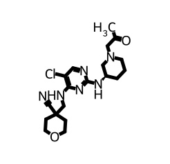 CC(=O)CN1CCC[C@@H](Nc2ncc(Cl)c(NCC3(C#N)CCOCC3)n2)C1